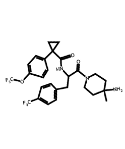 CC1(N)CCN(C(=O)C(Cc2ccc(C(F)(F)F)cc2)NC(=O)C2(c3ccc(OC(F)(F)F)cc3)CC2)CC1